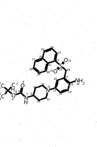 CC(C)(C)OC(=O)NC1CCN(c2ccc(N)c(CS(=O)(=O)c3cccc4ccccc34)c2)CC1